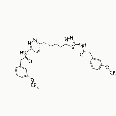 O=C(Cc1cccc(OC(F)(F)F)c1)Nc1ccc(CCCCc2nnc(NC(=O)Cc3cccc(OC(F)(F)F)c3)s2)nn1